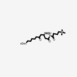 CCCCCCCCCCCCCCCC(=O)CC(CC(=O)P(O)C(=O)CCC[N+](C)(C)C)NC(C)=O